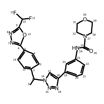 CC(c1ccc(-c2nnc(C(F)F)o2)cc1)n1cc(-c2cccc(NC(=O)N3CCOCC3)c2)nn1